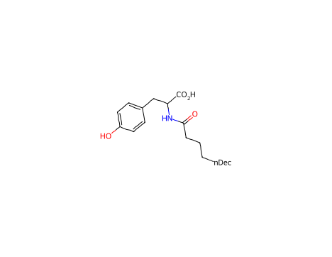 CCCCCCCCCCCCCC(=O)NC(Cc1ccc(O)cc1)C(=O)O